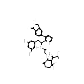 O=C(Cn1nc(C(F)F)c2c1C(F)(F)CCC2(F)F)NC(Cc1cc(F)cc(F)c1)c1ncccc1-c1ccc2c(c1)CNC2=O